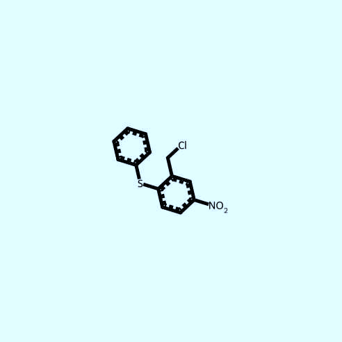 O=[N+]([O-])c1ccc(Sc2ccccc2)c(CCl)c1